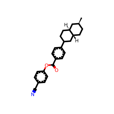 C[C@H]1CC[C@@H]2CC(c3ccc(C(=O)Oc4ccc(C#N)cc4)cc3)CC[C@H]2C1